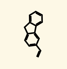 C=Cc1ccc2c(c1)-c1ccccc1C2